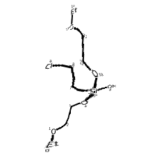 CCOCCO[Si](O)(CCCl)OCCOCC